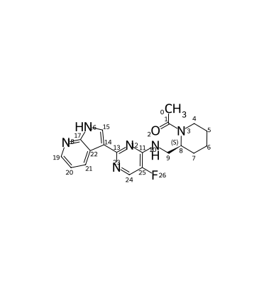 CC(=O)N1CCCC[C@H]1CNc1nc(-c2c[nH]c3ncccc23)ncc1F